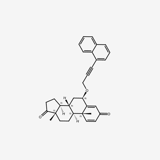 C[C@]12C=CC(=O)C=C1[C@H](OCC#Cc1cccc3ccccc13)C[C@@H]1[C@@H]2CC[C@]2(C)C(=O)CC[C@@H]12